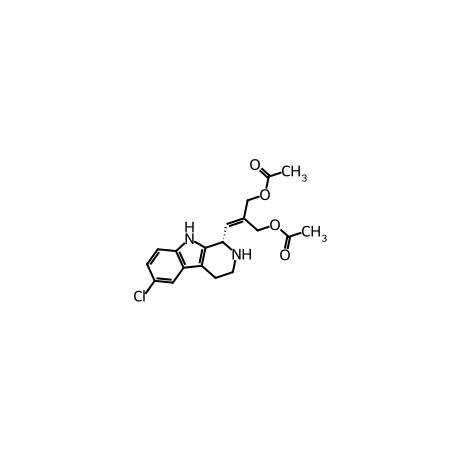 CC(=O)OCC(=C[C@@H]1NCCc2c1[nH]c1ccc(Cl)cc21)COC(C)=O